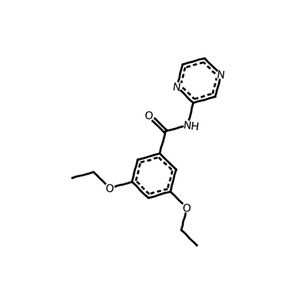 CCOc1cc(OCC)cc(C(=O)Nc2cnccn2)c1